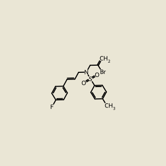 C=C(Br)CN(CC=Cc1ccc(F)cc1)S(=O)(=O)c1ccc(C)cc1